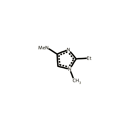 CCc1nc(NC)cn1C